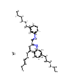 CCCCCCCCC(C=Nc1cccc(CCCCCC)c1)=Nc1cccc(CCCCCC)c1.[Ni]